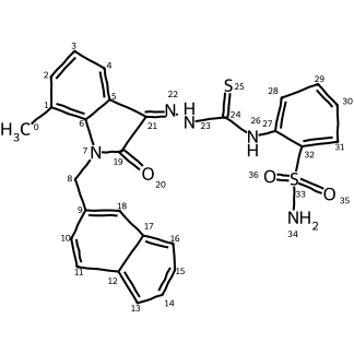 Cc1cccc2c1N(Cc1ccc3ccccc3c1)C(=O)C2=NNC(=S)Nc1ccccc1S(N)(=O)=O